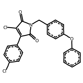 O=C1C(Cl)=C(c2ccc(Cl)cc2)C(=O)N1Cc1ccc(Oc2ccccc2)cc1